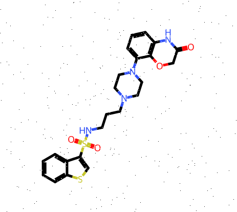 O=C1COc2c(cccc2N2CCN(CCCNS(=O)(=O)c3csc4ccccc34)CC2)N1